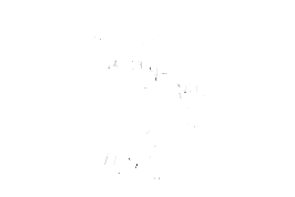 CN(Cc1cc(C(N)=O)ccc1N)C1CCCCC1